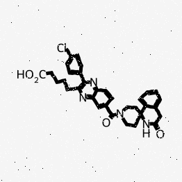 O=C(O)CCCCc1nc2cc(C(=O)N3CCC4(CC3)NC(=O)Cc3ccccc34)ccc2nc1-c1ccc(Cl)cc1